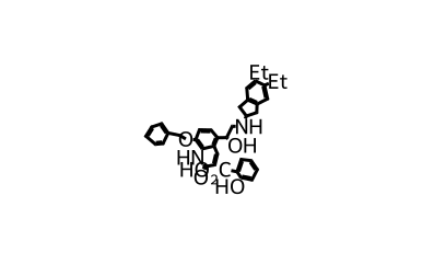 CCc1cc2c(cc1CC)CC(NCC(O)c1ccc(OCc3ccccc3)c3[nH]c(=O)ccc13)C2.O=C(O)c1ccccc1O